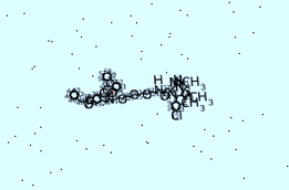 Cc1sc2c(c1C)C(c1ccc(Cl)cc1)=N[C@@H](CC(=O)NCCOCCOCCOCCN(Cc1ccc3cc(Cc4ccccc4)oc3c1)C(=O)OCC1c3ccccc3-c3ccccc31)c1nnc(C)n1-2